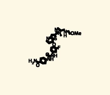 COCCNCc1cnc(-c2cc3nccc(Oc4ccc(NC(=O)Nc5ccc(C(N)=O)cc5)cc4F)c3s2)n1C